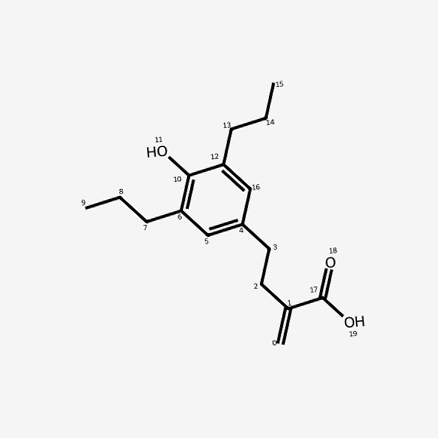 C=C(CCc1cc(CCC)c(O)c(CCC)c1)C(=O)O